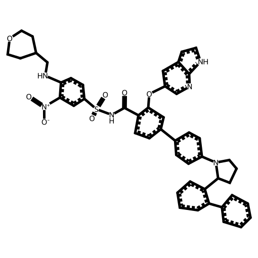 O=C(NS(=O)(=O)c1ccc(NCC2CCOCC2)c([N+](=O)[O-])c1)c1ccc(-c2ccc(N3CCCC3c3ccccc3-c3ccccc3)cc2)cc1Oc1cnc2[nH]ccc2c1